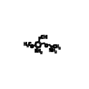 COc1cc(F)c(COC[C@@H](C)N)cc1N.Cl